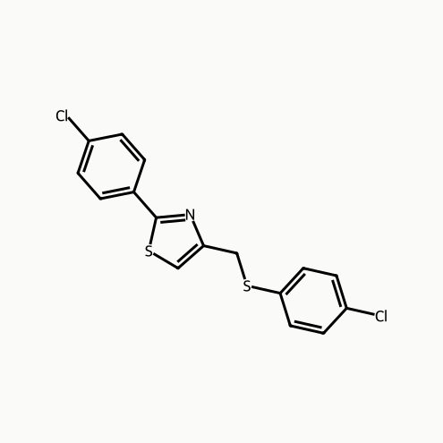 Clc1ccc(SCc2csc(-c3ccc(Cl)cc3)n2)cc1